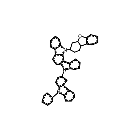 c1ccc(-n2c3ccccc3c3cc(-n4c5ccccc5c5c4ccc4c6ccccc6n(C6CCC7c8ccccc8OC7C6)c45)ccc32)cc1